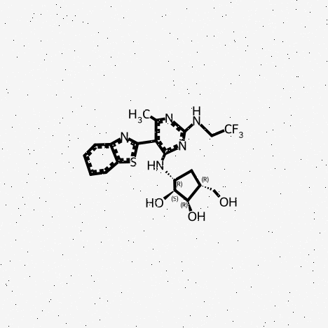 Cc1nc(NCC(F)(F)F)nc(N[C@@H]2C[C@H](CO)[C@@H](O)[C@H]2O)c1-c1nc2ccccc2s1